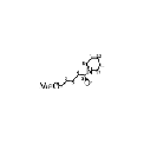 COCCCCC([O])N1CCCCC1